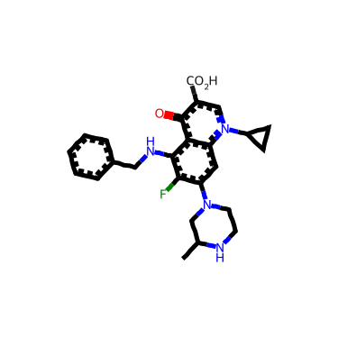 CC1CN(c2cc3c(c(NCc4ccccc4)c2F)c(=O)c(C(=O)O)cn3C2CC2)CCN1